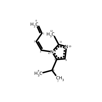 C=C/C=C\n1c(C(C)C)cnc1C